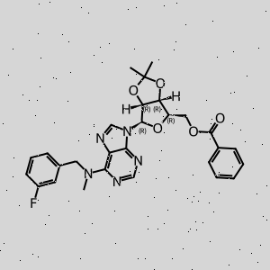 CN(Cc1cccc(F)c1)c1ncnc2c1ncn2[C@@H]1O[C@H](COC(=O)c2ccccc2)[C@H]2OC(C)(C)O[C@H]21